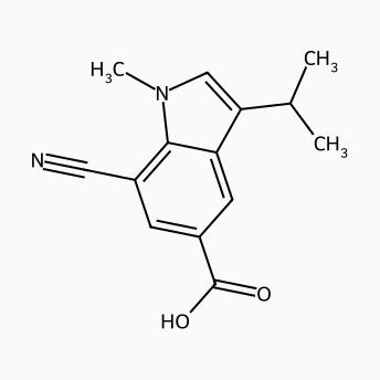 CC(C)c1cn(C)c2c(C#N)cc(C(=O)O)cc12